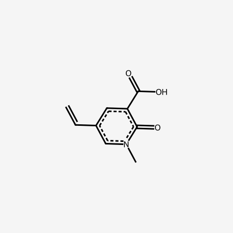 C=Cc1cc(C(=O)O)c(=O)n(C)c1